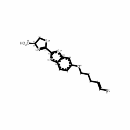 CCC=CCCCOc1ccc2nc(C3=N[C@@H](C(=O)O)CS3)sc2c1